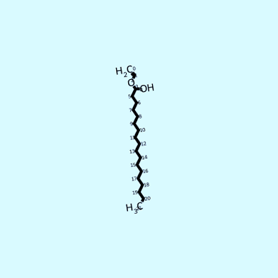 C=COC(O)CCCCCCCCCCCCCCCCC